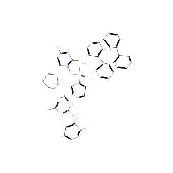 C1CC[SiH2]OC1.CCOP(=S)(Oc1ccc(Cl)cc1Cl)c1ccccc1.Clc1nc(Cl)nc(Nc2ccccc2Cl)n1.c1ccc(-c2ccccc2)cc1.c1ccc(-c2ccccc2)cc1